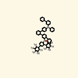 [2H]c1c([2H])c([2H])c(-c2ccc(-n3c4ccccc4c4ccc(-c5ccccc5-c5ccc(N(c6ccccc6)c6cccc(-c7ccccc7)c6)cc5)cc43)c(-c3c([2H])c([2H])c([2H])c([2H])c3[2H])c2)c([2H])c1[2H]